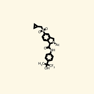 CC(=O)N1Cc2cc(S(=O)(=O)CC3CC3)ccc2C1C(=O)Nc1ccc(C(C)(O)C(F)(F)F)cc1